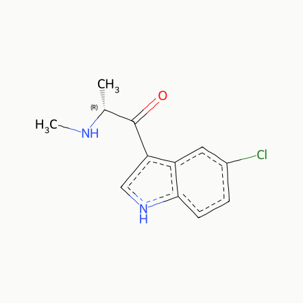 CN[C@H](C)C(=O)c1c[nH]c2ccc(Cl)cc12